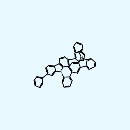 c1ccc(-c2ccc3c4ccc(-c5ccccc5)cc4n(-c4ccccc4-c4ccc5c(c4)c4ccccc4n5-c4ccccc4)c3c2)cc1